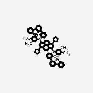 Cc1ccc(N(c2cccc(-c3cccc(-c4ccccc4C(C)C)c3)c2O)c2cc(C3CCCC3)c3ccc4c(N(c5ccc(C)c(C)c5)c5cccc6c5oc5c(-c7ccccc7C(C)C)cccc56)cc(C5CCCC5)c5ccc2c3c54)cc1C